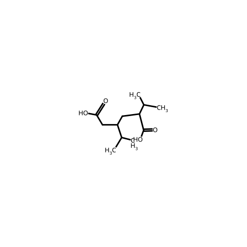 CC(C)C(CC(=O)O)CC(C(=O)O)C(C)C